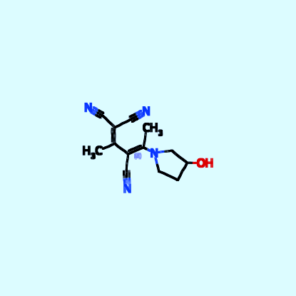 CC(=C(C#N)C#N)/C(C#N)=C(\C)N1CCC(O)C1